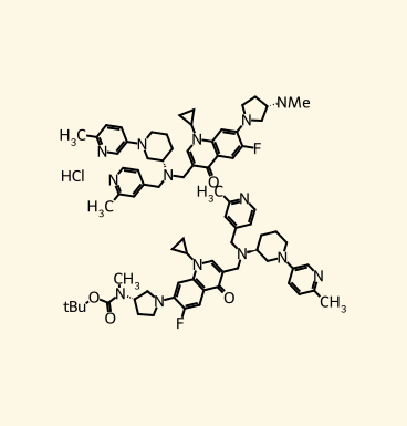 CN[C@H]1CCN(c2cc3c(cc2F)c(=O)c(CN(Cc2ccnc(C)c2)[C@H]2CCCN(c4ccc(C)nc4)C2)cn3C2CC2)C1.Cc1ccc(N2CCC[C@H](N(Cc3ccnc(C)c3)Cc3cn(C4CC4)c4cc(N5CC[C@H](N(C)C(=O)OC(C)(C)C)C5)c(F)cc4c3=O)C2)cn1.Cl